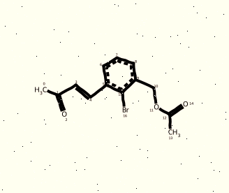 CC(=O)/C=C/c1cccc(COC(C)=O)c1Br